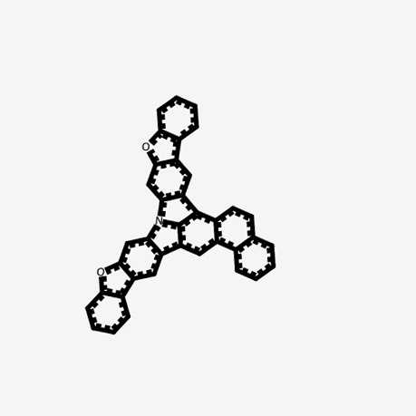 c1ccc2c(c1)ccc1c2cc2c3cc4c(cc3n3c5cc6oc7ccccc7c6cc5c1c23)oc1ccccc14